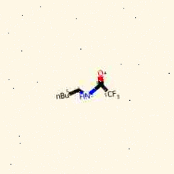 CCCCCNC(=O)C(F)(F)F